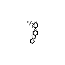 [O-][N+]1(CC2CCN(c3ccnc(C(F)(F)F)n3)CC2)CCCC1